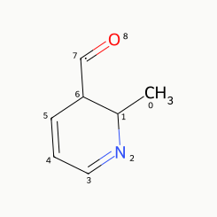 CC1N=CC=CC1[C]=O